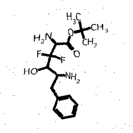 CC(C)(C)OC(=O)C(N)C(F)(F)C(O)C(N)Cc1ccccc1